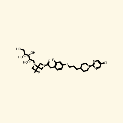 O=C(Cc1ccc(OCCCC2CCN(c3ncc(Cl)cn3)CC2)cc1F)N1CC2(C1)N(C[C@H](O)[C@H](O)[C@H](O)CO)CC2(F)F